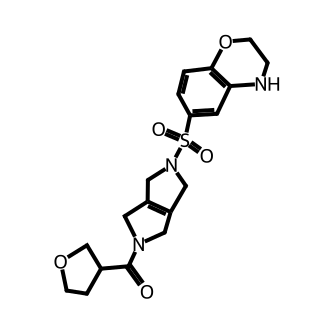 O=C(C1CCOC1)N1CC2=C(C1)CN(S(=O)(=O)c1ccc3c(c1)NCCO3)C2